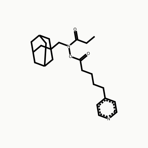 CCC(=O)N(CC12CC3CC(CC(C3)C1)C2)OC(=O)CCCCc1ccncc1